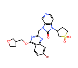 O=c1n(Cc2nc(OCC3CCOC3)c3ccc(Br)cc3n2)c2cnccc2n1C1CCS(=O)(=O)C1